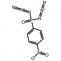 [N-]=[N+]=NP(=O)(N=[N+]=[N-])c1ccc([N+](=O)[O-])cc1